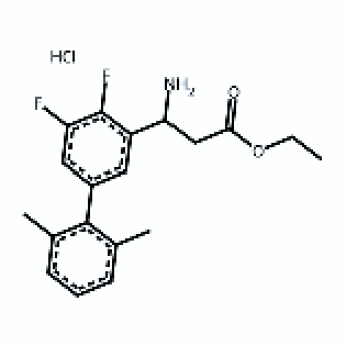 CCOC(=O)CC(N)c1cc(-c2c(C)cccc2C)cc(F)c1F.Cl